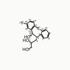 OCC(O)C[C@@H]1c2ccccc2Cc2ccc(F)cc2[C@@H]1O